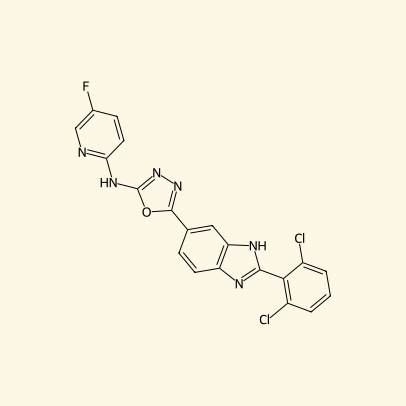 Fc1ccc(Nc2nnc(-c3ccc4nc(-c5c(Cl)cccc5Cl)[nH]c4c3)o2)nc1